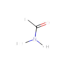 [Li][C](=O)N(C)C